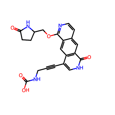 O=C(O)NCC#Cc1c[nH]c(=O)c2cc3ccnc(OCC4CCC(=O)N4)c3cc12